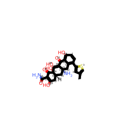 Cc1csc(-c2ccc(O)c3c2C[C@@]2(N)C[C@H]4CC(O)=C(C(N)=O)C(=O)[C@@]4(O)C(O)=C2C3=O)c1